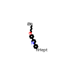 CCCCCCCc1ccc(-c2ccc(-c3ccc(OCCCCC[C@@H](C)CC)cc3)cn2)cc1